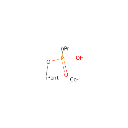 CCCCCOP(=O)(O)CCC.[Co]